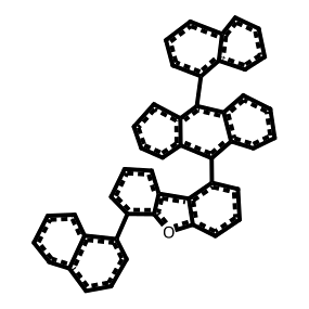 c1ccc2c(-c3c4ccccc4c(-c4cccc5oc6c(-c7cccc8ccccc78)cccc6c45)c4ccccc34)cccc2c1